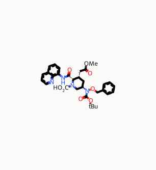 COC(=O)C[C@@H]1C[C@@H](N(OCc2ccccc2)C(=O)OC(C)(C)C)CN(C(=O)O)[C@@H]1C(=O)Nc1cccc2cccnc12